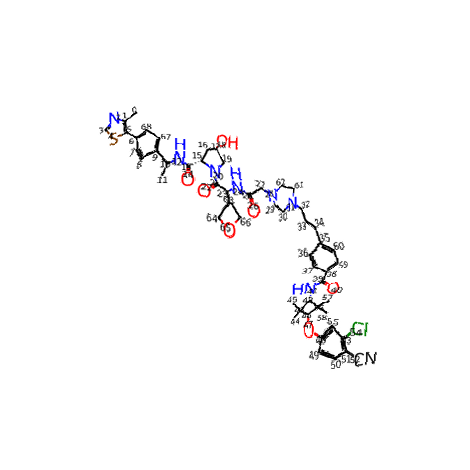 Cc1ncsc1-c1ccc([C@H](C)NC(=O)[C@@H]2C[C@@H](O)CN2C(=O)[C@@H](NC(=O)CN2CCN(CCCc3ccc(C(=O)N[C@H]4C(C)(C)[C@H](Oc5ccc(C#N)c(Cl)c5)C4(C)C)cc3)CC2)C2COC2)cc1